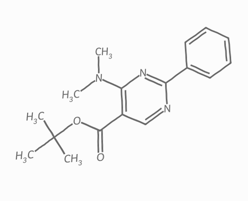 CN(C)c1nc(-c2ccccc2)ncc1C(=O)OC(C)(C)C